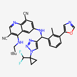 Cc1c(-c2cnco2)cccc1[C@H](Nc1cc(C#N)c2ncc(C#N)c(NCC(C)(C)C)c2c1)c1cn(C2(C(F)F)CC2)nn1